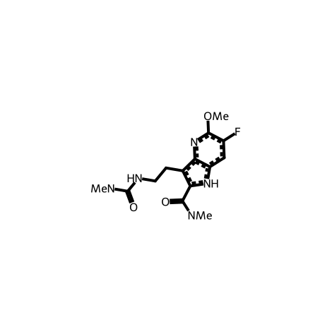 CNC(=O)NCCc1c(C(=O)NC)[nH]c2cc(F)c(OC)nc12